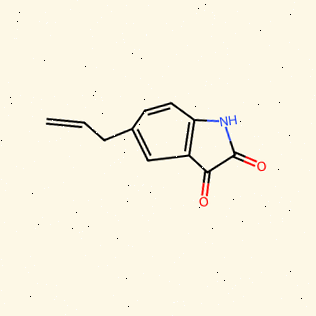 C=CCc1ccc2c(c1)C(=O)C(=O)N2